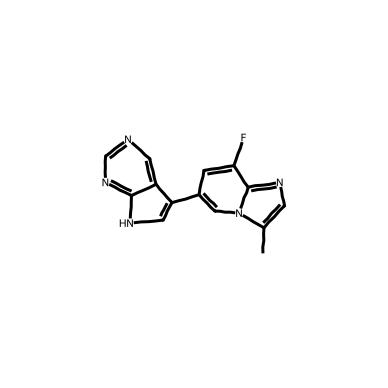 Cc1cnc2c(F)cc(-c3c[nH]c4ncncc34)cn12